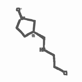 [O-][S+]1CC[C@H](CNCCCl)C1